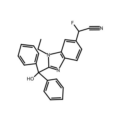 CCn1c(C(O)(c2ccccc2)c2ccccc2)nc2ccc(C(F)C#N)cc21